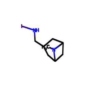 CN1C2CC(CNI)CC1C2